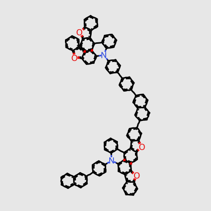 c1ccc(N(c2ccc(-c3ccc(-c4ccc5ccc(-c6ccc7c(c6)oc6cccc(-c8ccccc8N(c8ccc(-c9ccc%10ccccc%10c9)cc8)c8ccc9oc%10ccccc%10c9c8)c67)cc5c4)cc3)cc2)c2ccc3oc4ccccc4c3c2)c(-c2cccc3oc4ccccc4c23)c1